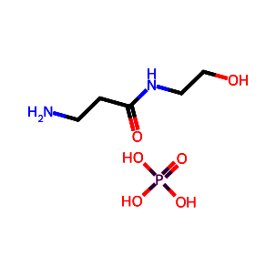 NCCC(=O)NCCO.O=P(O)(O)O